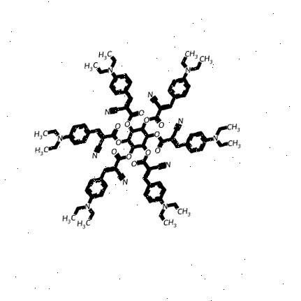 CCN(CC)c1ccc(/C=C(\C#N)C(=O)OC2C(OC(=O)/C(C#N)=C/c3ccc(N(CC)CC)cc3)C(OC(=O)/C(C#N)=C/c3ccc(N(CC)CC)cc3)C(OC(=O)/C(C#N)=C/c3ccc(N(CC)CC)cc3)C(OC(=O)/C(C#N)=C/c3ccc(N(CC)CC)cc3)C2OC(=O)/C(C#N)=C/c2ccc(N(CC)CC)cc2)cc1